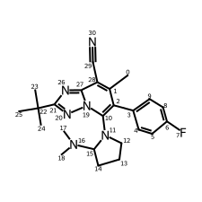 Cc1c(-c2ccc(F)cc2)c(N2CCCC2N(C)C)n2nc(C(C)(C)C)nc2c1C#N